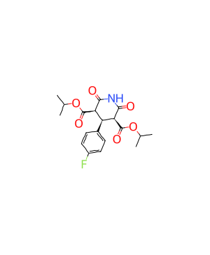 CC(C)OC(=O)[C@H]1C(=O)NC(=O)[C@@H](C(=O)OC(C)C)[C@H]1c1ccc(F)cc1